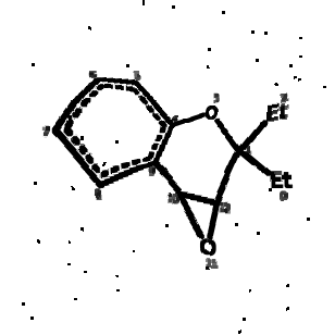 CCC1(CC)Oc2ccccc2C2OC21